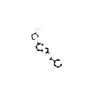 CC(=O)N[C@@H]1CCN(c2ccc3nc(NC(=O)c4cccnc4)cn3n2)C1